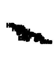 CCOc1nc2c(cc1Oc1cc(N3CCC4(CC3)CC(N3C5CN(Cc6ccc(OC)cc6)[C@@H]5[C@H]3c3ccccc3C(C)C)C4)ccc1C(=O)NS(=O)(=O)c1cc([NH+](C)[O-])c(NC[C@H]3CC[C@](C)(O)CC3)c3[nH]cnc13)C(F)=CC2